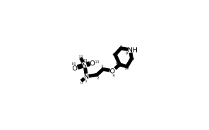 CN(CCOC1CCNCC1)S(C)(=O)=O